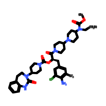 CCOC(=O)CN(C(=O)OC(C)(C)C)C1CCN(C2CCN(C(=O)[C@@H](Cc3cc(Cl)c(N)c(C(F)(F)F)c3)OC(=O)N3CCC(N4CCc5ccccc5NC4=O)CC3)CC2)CC1